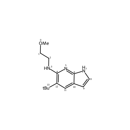 COCCNc1nc2[nH]ccc2cc1C(C)(C)C